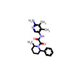 Cc1c(NC(=O)C(=O)N2C(C)CCCC2c2ccccc2)cnc(N)c1C